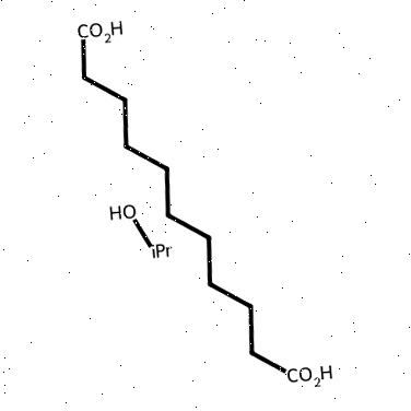 CC(C)O.O=C(O)CCCCCCCCCC(=O)O